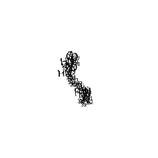 COC(=O)N[C@H](C(=O)N1CCC[C@H]1C(=O)NC1Cc2ccc(-c3ccc(-c4cnc(C5CCCN5C(=O)C(C)C)[nH]4)cc3)cc2C1)C(C)C